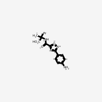 CC(C)C(C)(NC(=O)c1nc(-c2ccc(N)cc2)no1)C(=O)O